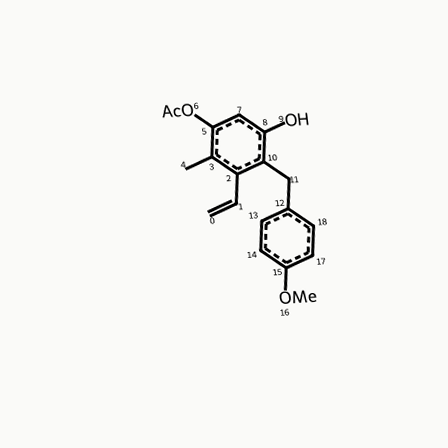 C=Cc1c(C)c(OC(C)=O)cc(O)c1Cc1ccc(OC)cc1